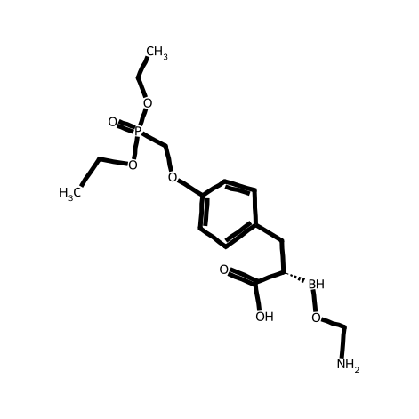 CCOP(=O)(COc1ccc(C[C@H](BOCN)C(=O)O)cc1)OCC